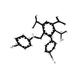 CC(C)c1cc(C(C)C)c(C(C)O)c(-c2ccc(F)cc2)c1CSc1ccc(F)cc1